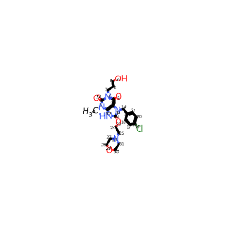 Cn1c2c(c(=O)n(CCCO)c1=O)N(Cc1ccc(Cl)cc1)C(OCCN1CCOCC1)N2